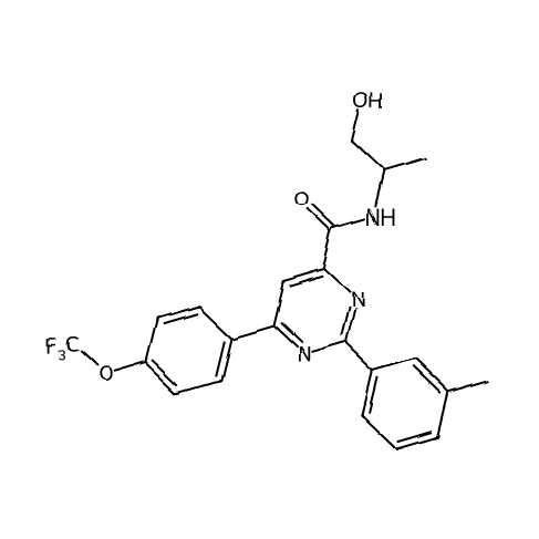 Cc1cccc(-c2nc(C(=O)NC(C)CO)cc(-c3ccc(OC(F)(F)F)cc3)n2)c1